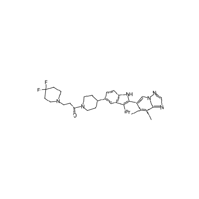 Cc1c(-c2[nH]c3ccc(C4CCN(C(=O)CCN5CCC(F)(F)CC5)CC4)cc3c2C(C)C)cn2ncnc2c1C